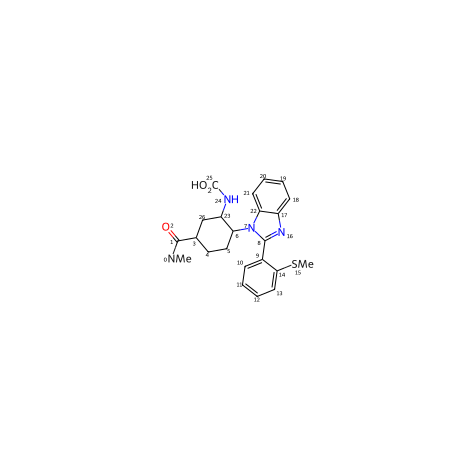 CNC(=O)C1CCC(n2c(-c3ccccc3SC)nc3ccccc32)C(NC(=O)O)C1